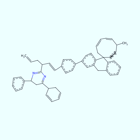 C=CCC(/C=C/c1ccc(-c2ccc3c(c2)Cc2ccccc2C32C/C=C\C=C/C(C)c3ccccc32)cc1)C1=NC(c2ccccc2)CC(C2C=CC=CC2)=N1